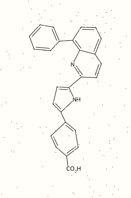 O=C(O)c1ccc(-c2ccc(-c3ccc4cccc(-c5ccccc5)c4n3)[nH]2)cc1